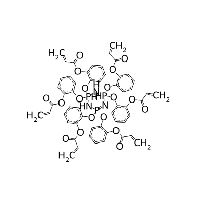 C=CC(=O)Oc1ccccc1OP1(Oc2ccccc2OC(=O)C=C)=N[PH](Oc2ccccc2OC(=O)C=C)(Oc2ccccc2OC(=O)C=C)N[PH](Oc2ccccc2OC(=O)C=C)(Oc2ccccc2OC(=O)C=C)N1